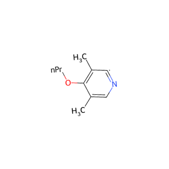 CCCOc1c(C)[c]ncc1C